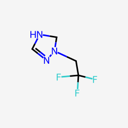 FC(F)(F)CN1CNC=N1